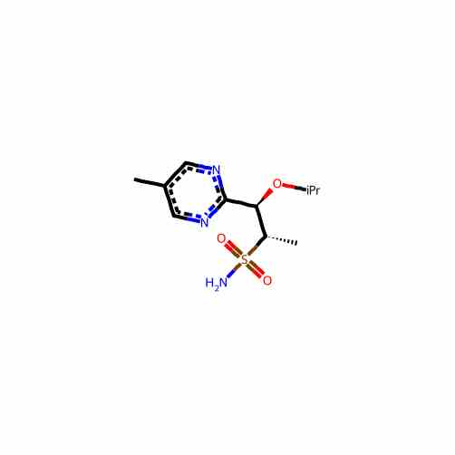 Cc1cnc([C@@H](OC(C)C)[C@H](C)S(N)(=O)=O)nc1